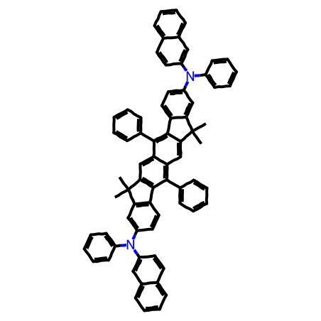 CC1(C)c2cc(N(c3ccccc3)c3ccc4ccccc4c3)ccc2-c2c1cc1c(-c3ccccc3)c3c(cc1c2-c1ccccc1)C(C)(C)c1cc(N(c2ccccc2)c2ccc4ccccc4c2)ccc1-3